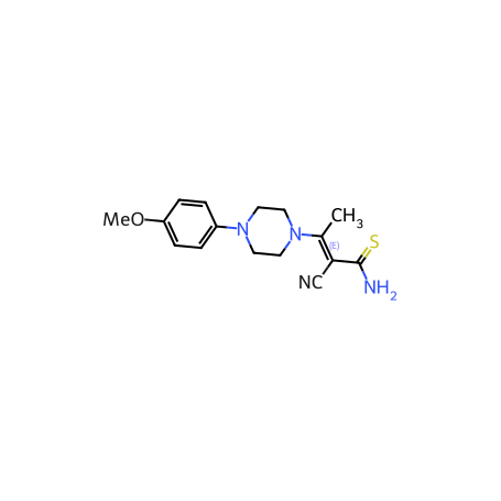 COc1ccc(N2CCN(/C(C)=C(\C#N)C(N)=S)CC2)cc1